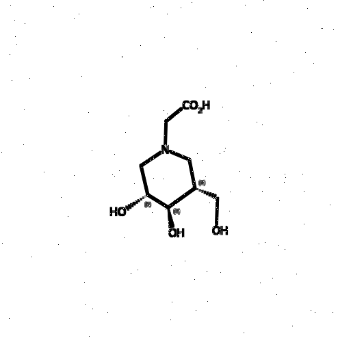 O=C(O)CN1C[C@H](CO)[C@@H](O)[C@H](O)C1